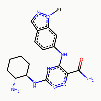 CCn1ncc2ccc(Nc3nc(N[C@@H]4CCCC[C@H]4N)nnc3C(N)=O)cc21